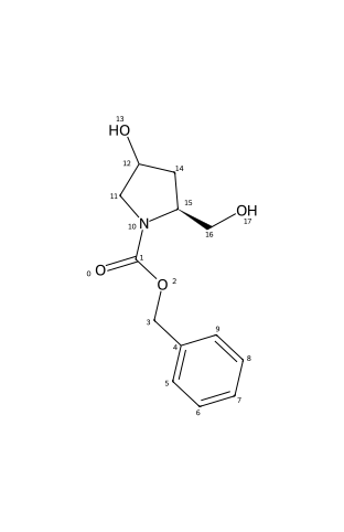 O=C(OCc1ccccc1)N1CC(O)C[C@H]1CO